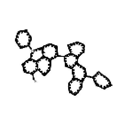 N#Cc1ccc2c3c1ccc1c(-c4cc5c6ccccc6c(-c6ccccc6)cc5c5ccccc45)ccc(c13)n2-c1ccccc1